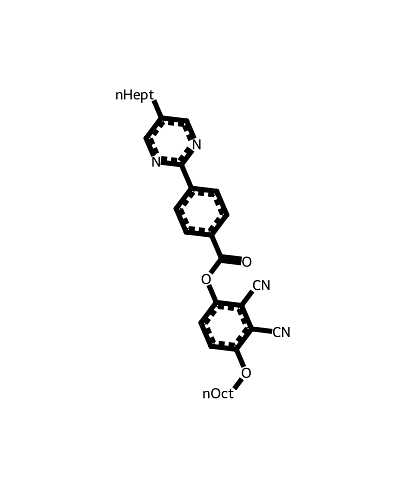 CCCCCCCCOc1ccc(OC(=O)c2ccc(-c3ncc(CCCCCCC)cn3)cc2)c(C#N)c1C#N